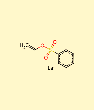 C=COS(=O)(=O)c1ccccc1.[La]